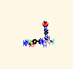 C[C@@H](Cn1cnnn1)Oc1cc(-c2cnc(Nc3cn(C4CC5(C4)CN(C4COC(C)(C)OC4)C5)nc3OCC(F)(F)F)nc2)ccc1Cl